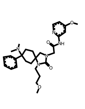 COCCCN1C(=O)N(CC(=O)Nc2cc(OC)ccn2)CC12CCC(c1ccccc1)(N(C)C)CC2